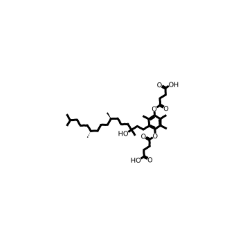 Cc1c(C)c(OC(=O)CCC(=O)O)c(CCC(C)(O)CCC[C@H](C)CCC[C@H](C)CCCC(C)C)c(C)c1OC(=O)CCC(=O)O